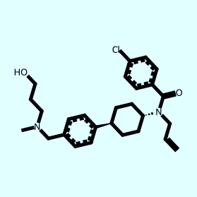 C=CCN(C(=O)c1ccc(Cl)cc1)[C@H]1CC[C@H](c2ccc(CN(C)CCCO)cc2)CC1